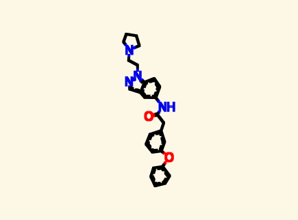 O=C(Cc1cccc(Oc2ccccc2)c1)Nc1ccc2c(cnn2CCN2CCCC2)c1